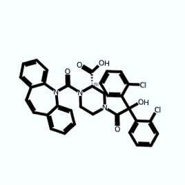 O=C(O)[C@@H]1CN(C(=O)C(O)(c2ccccc2Cl)c2ccccc2Cl)CCN1C(=O)N1c2ccccc2C=Cc2ccccc21